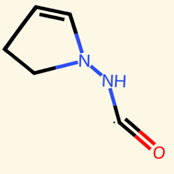 O=[C]NN1C=CCC1